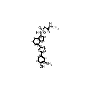 CNC(=O)CS(=O)(=O)N[C@@H]1CCC2=C1CCC=C2c1noc(-c2ccc(O)c(N)c2)n1